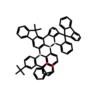 CC(C)(C)c1ccc(N2c3cc4c(c5c3B(c3ccc6sc7ccccc7c6c32)N2c3ccccc3C3(c6ccccc6-c6ccccc63)c3cccc-5c32)C(C)(C)c2ccccc2-4)c(-c2ccccc2)c1